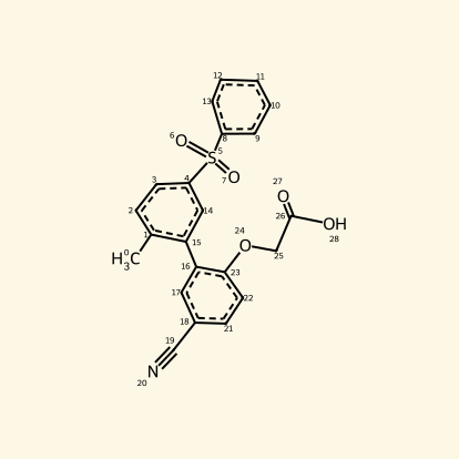 Cc1ccc(S(=O)(=O)c2ccccc2)cc1-c1cc(C#N)ccc1OCC(=O)O